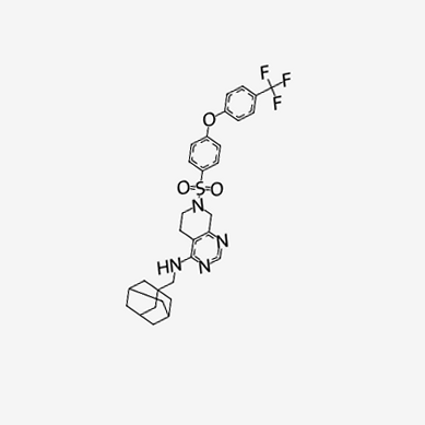 O=S(=O)(c1ccc(Oc2ccc(C(F)(F)F)cc2)cc1)N1CCc2c(ncnc2NCC23CC4CC(CC(C4)C2)C3)C1